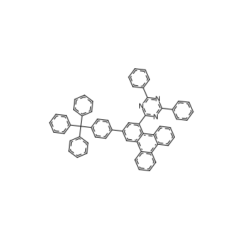 c1ccc(-c2nc(-c3ccccc3)nc(-c3cc(-c4ccc(C(c5ccccc5)(c5ccccc5)c5ccccc5)cc4)cc4c5ccccc5c5ccccc5c34)n2)cc1